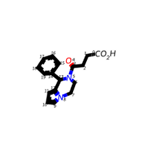 O=C(O)CCC(=O)N1CCn2cccc2C1c1ccccc1